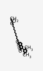 C=CC(=O)OCCCCCCCCCCCOc1ccc2cc(-c3cc(C)ccc3C)c(=O)oc2n1